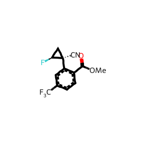 COC(=O)c1ccc(C(F)(F)F)cc1[C@]1(C#N)C[C@@H]1F